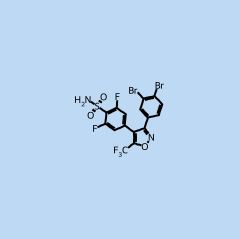 NS(=O)(=O)c1c(F)cc(-c2c(-c3ccc(Br)c(Br)c3)noc2C(F)(F)F)cc1F